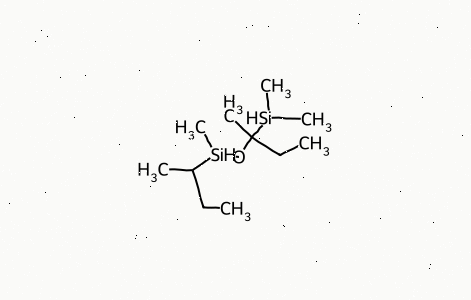 CCC(C)[SiH](C)OC(C)(CC)[SiH](C)C